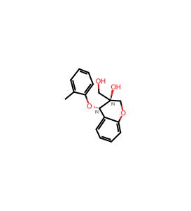 Cc1ccccc1O[C@H]1c2ccccc2OC[C@@]1(O)CO